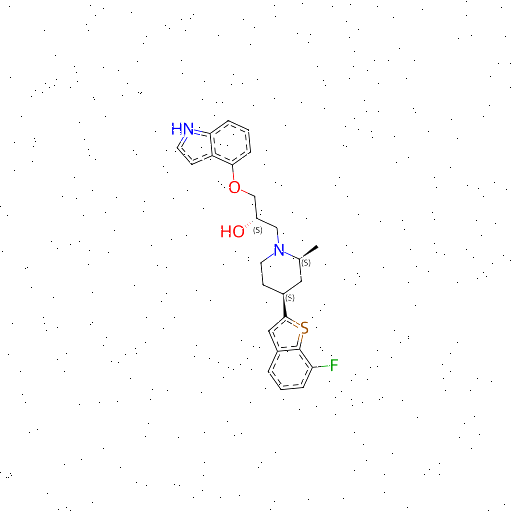 C[C@H]1C[C@@H](c2cc3cccc(F)c3s2)CCN1C[C@H](O)COc1cccc2[nH]ccc12